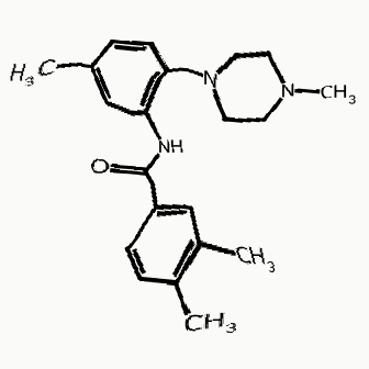 Cc1ccc(N2CCN(C)CC2)c(NC(=O)c2ccc(C)c(C)c2)c1